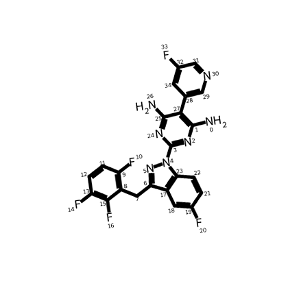 Nc1nc(-n2nc(Cc3c(F)ccc(F)c3F)c3cc(F)ccc32)nc(N)c1-c1cncc(F)c1